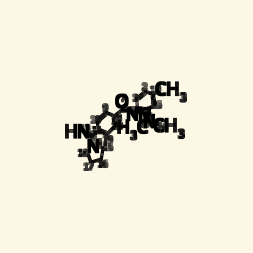 Cc1ccc(NC(=O)c2ccc(C(=N)N3CCCC3)cc2)c(N(C)C)c1